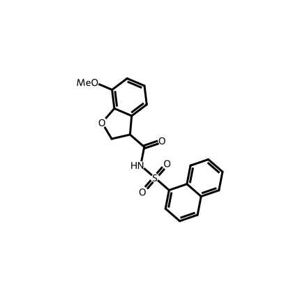 COc1cccc2c1OCC2C(=O)NS(=O)(=O)c1cccc2ccccc12